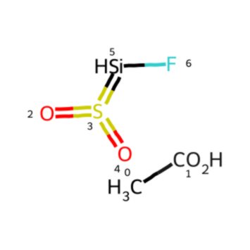 CC(=O)O.O=S(=O)=[SiH]F